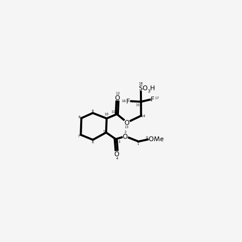 COCOC(=O)C1CCCCC1C(=O)OCC(F)(F)S(=O)(=O)O